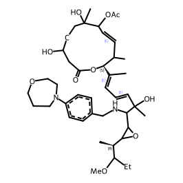 CCC(OC)[C@@H](C)C1OC1C(NCc1ccc(N2CCCOCC2)cc1)C(C)(O)/C=C/C=C(\C)[C@H]1OC(=O)CC(O)CCC(C)(O)C(OC(C)=O)/C=C/C1C